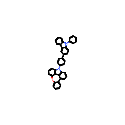 c1ccc(-n2c3ccccc3c3cc(-c4ccc(-n5c6cccc7oc8ccccc8c8cccc5c8c76)cc4)ccc32)cc1